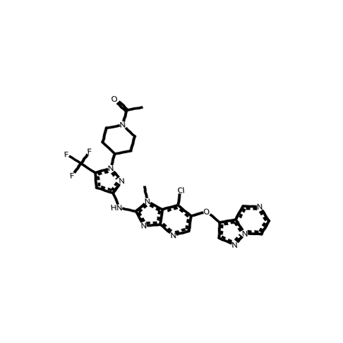 CC(=O)N1CCC(n2nc(Nc3nc4ncc(Oc5cnn6ccncc56)c(Cl)c4n3C)cc2C(F)(F)F)CC1